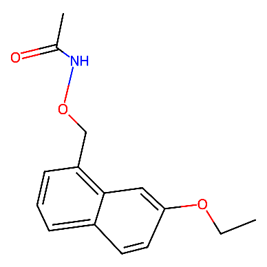 CCOc1ccc2cccc(CONC(C)=O)c2c1